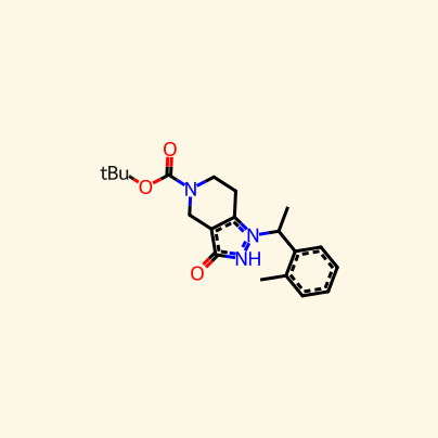 Cc1ccccc1C(C)n1[nH]c(=O)c2c1CCN(C(=O)OC(C)(C)C)C2